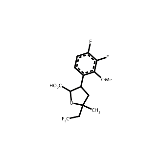 COc1c(C2CC(C)(CC(F)(F)F)OC2C(=O)O)ccc(F)c1F